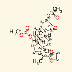 COC(=O)OC1C=C2CC(OC(C)=O)C3OC3[C@]2(C)[C@H]2CC[C@]3(C)[C@@H](C(C)C4OCCO4)CC[C@H]3[C@H]12